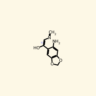 C=N/C=C(/O)c1cc2c(cc1N)OCO2